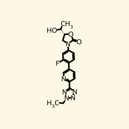 CCn1nnc(-c2ccc(-c3ccc(N4C[C@H](C(C)O)OC4=O)cc3F)cn2)n1